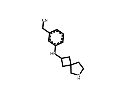 N#CCc1cccc(NC2CC3(CCNC3)C2)c1